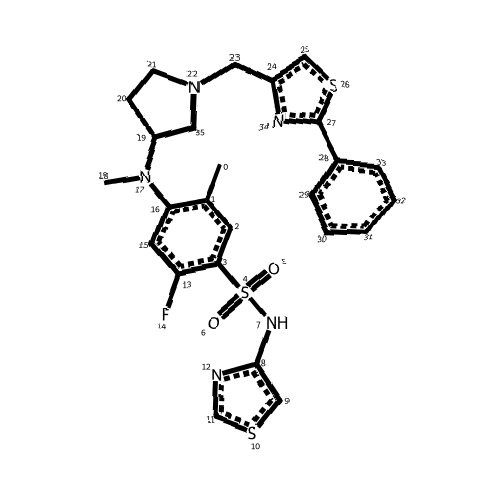 Cc1cc(S(=O)(=O)Nc2cscn2)c(F)cc1N(C)C1CCN(Cc2csc(-c3ccccc3)n2)C1